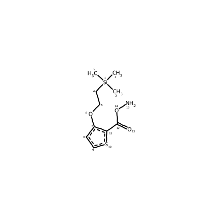 C[Si](C)(C)CCOc1ccsc1C(=O)ON